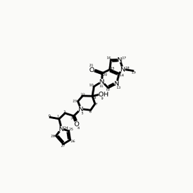 CC(CC(=O)N1CCC(O)(Cn2cnc3c(cnn3C)c2=O)CC1)n1cccc1